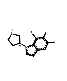 Fc1c(Cl)cc2ccn([C@H]3CCNC3)c2c1F